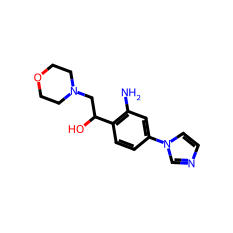 Nc1cc(-n2ccnc2)ccc1C(O)CN1CCOCC1